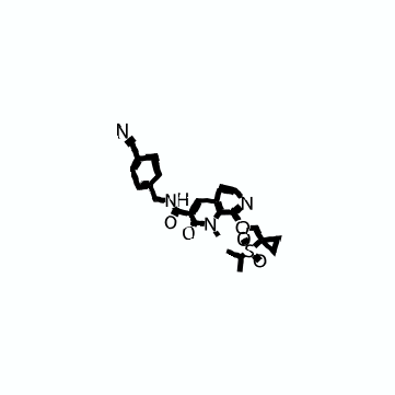 CC(C)S(=O)(=O)C1(COc2nccc3cc(C(=O)NCc4ccc(C#N)cc4)c(=O)n(C)c23)CC1